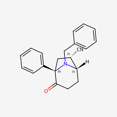 N#C[C@H]1C[C@@]2(c3ccccc3)C(=O)CC[C@@H]1N2Cc1ccccc1